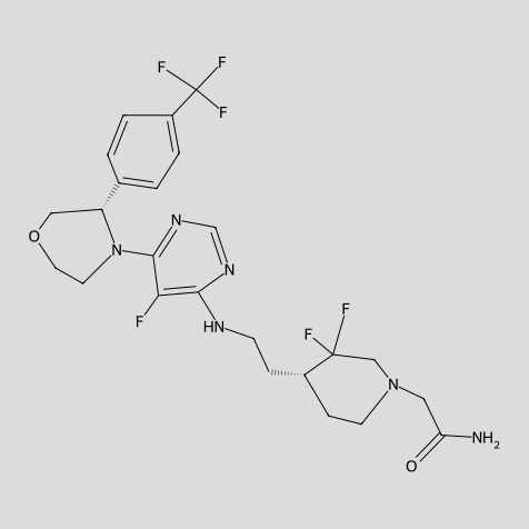 NC(=O)CN1CC[C@H](CCNc2ncnc(N3CCOC[C@@H]3c3ccc(C(F)(F)F)cc3)c2F)C(F)(F)C1